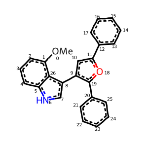 COc1cccc2[nH]cc(-c3cc(-c4ccccc4)oc3-c3ccccc3)c12